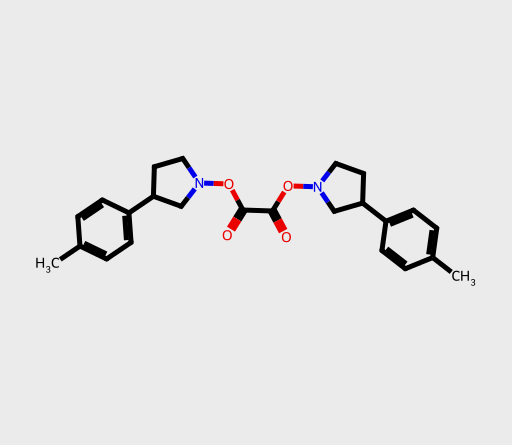 Cc1ccc(C2CCN(OC(=O)C(=O)ON3CCC(c4ccc(C)cc4)C3)C2)cc1